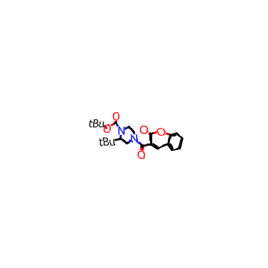 CC(C)(C)OC(=O)N1CCN(C(=O)c2cc3ccccc3oc2=O)CC1C(C)(C)C